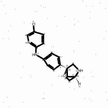 Clc1ccc(Nc2ccc([C@@]34CN[C@@H](CO3)C4)cc2)nc1